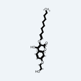 CCCCCCCC/C=C/Oc1c(O)c2ccc(OCCO)cc2oc1=O